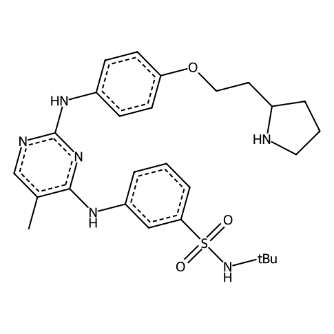 Cc1cnc(Nc2ccc(OCCC3CCCN3)cc2)nc1Nc1cccc(S(=O)(=O)NC(C)(C)C)c1